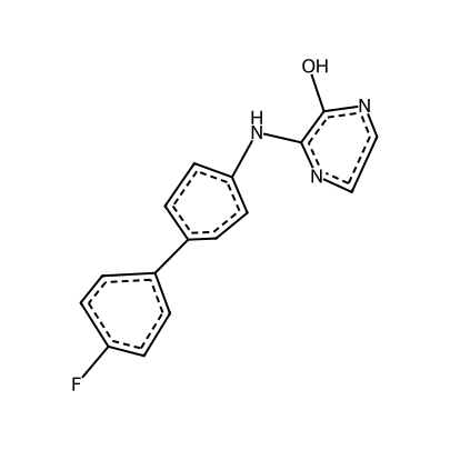 Oc1nccnc1Nc1ccc(-c2ccc(F)cc2)cc1